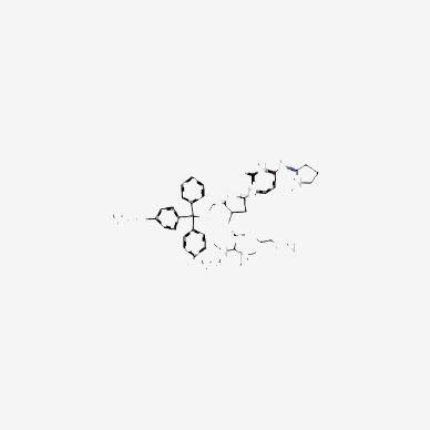 COc1ccc(C(OC[C@H]2O[C@@H](n3ccc(/N=C4/CCCN4C)nc3=O)CC2OP(OCCC#N)C(N(C)C)N(C)C)(c2ccccc2)c2ccc(OC)cc2)cc1